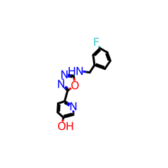 Oc1ccc(-c2nnc(NCc3cccc(F)c3)o2)nc1